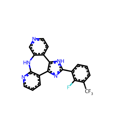 Fc1c(-c2nc3c([nH]2)-c2ccncc2Nc2ncccc2-3)cccc1C(F)(F)F